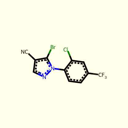 N#Cc1cnn(-c2ccc(C(F)(F)F)cc2Cl)c1Br